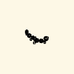 CC(C)(C)[Si](C)(C)O[C@H]1CC[C@@H](N2CC[C@@H](Cc3c(Cl)cc(-c4ccc(C(=O)N5CCCOCC5)cc4)cc3Cl)C2=O)CC1